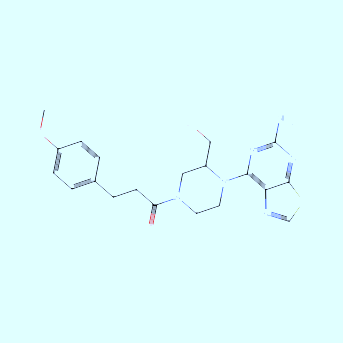 COc1ccc(CCC(=O)N2CCN(c3nc(N)nc4scnc34)C(CO)C2)cc1